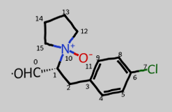 O=[C][C@@H](Cc1ccc(Cl)cc1)[N+]1([O-])CCCC1